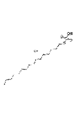 CCCCCCCCCCCCCCCCOS(=O)(=O)O.[KH]